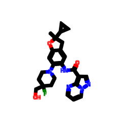 CC1(C2CC2)Cc2cc(NC(=O)c3cnn4cccnc34)c(N3CCC(F)(CO)CC3)cc2O1